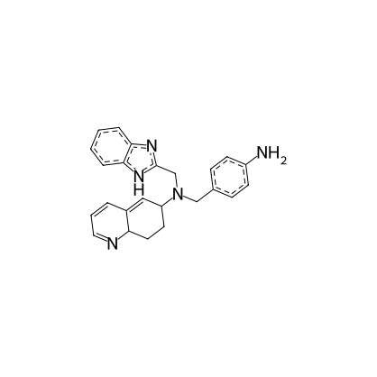 Nc1ccc(CN(Cc2nc3ccccc3[nH]2)C2C=C3C=CC=NC3CC2)cc1